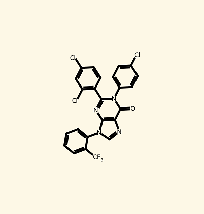 O=c1c2ncn(-c3ccccc3C(F)(F)F)c2nc(-c2ccc(Cl)cc2Cl)n1-c1ccc(Cl)cc1